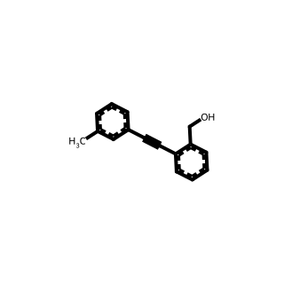 Cc1cccc(C#Cc2ccccc2CO)c1